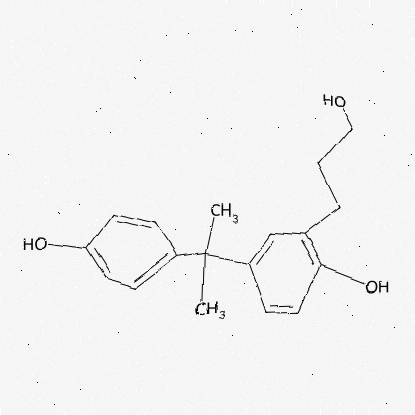 CC(C)(c1ccc(O)cc1)c1ccc(O)c(CCCO)c1